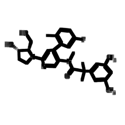 Cc1ccc(F)cc1-c1cc(N2CC[C@H](O)[C@H]2CO)ncc1N(C)C(=O)C(C)(C)c1cc(C(F)(F)F)cc(C(F)(F)F)c1